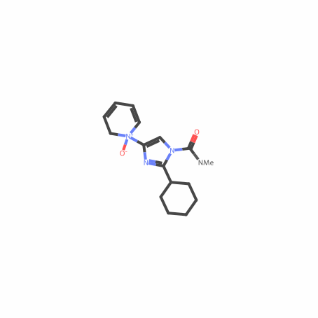 CNC(=O)n1cc([N+]2([O-])C=CC=CC2)nc1C1CCCCC1